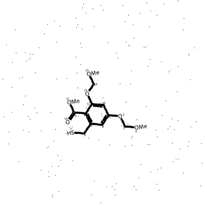 COCOc1cc(CS)c(C(=O)OC)c(OCOC)c1